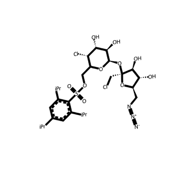 CC(C)c1cc(C(C)C)c(S(=O)(=O)OCC2O[C@H](O[C@]3(CCl)O[C@H](CN=[N+]=[N-])[C@@H](O)[C@@H]3O)[C@H](O)[C@@H](O)[C@H]2Cl)c(C(C)C)c1